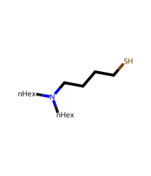 CCCCCCN(CCCCS)CCCCCC